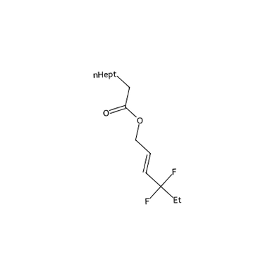 CCCCCCCCC(=O)OC/C=C/C(F)(F)CC